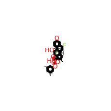 C[C@@H]1CC(OC(=O)O[C@]2(C(=O)O)[C@H](C)C[C@H]3[C@@H]4C[C@H](F)C5=CC(=O)C=C[C@]5(C)[C@@]4(F)[C@@H](O)C[C@@]32C)C[C@H](C)C1